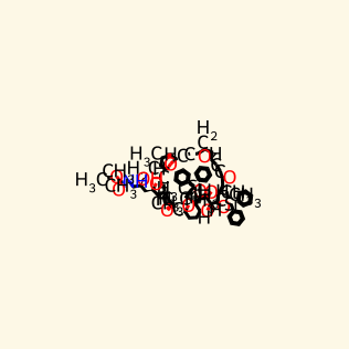 C=C1C[C@@H]2CCC(=O)C[C@H]3O[C@H]4[C@@H](O[Si](c5ccccc5)(c5ccccc5)C(C)(C)C)[C@H]5OC(CC[C@@H]5O[C@H]4[C@H]3O[Si](c3ccccc3)(c3ccccc3)C(C)(C)C)CC(=O)C[C@H]3C(C[C@H]4O[C@@H](CCC1O2)C[C@@H](C)C4=C)O[C@H](C[C@H](O)CNC(=O)OC(C)(C)C)[C@@H]3C